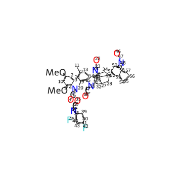 COc1ccc(N=C=O)c(OC)c1.Cc1ccc(N=C=O)c(C)c1.O=C=NC12CC3CC(CC(C3)C1)C2.O=C=Nc1ccc(F)cc1F.O=C=Nc1cccc2ccccc12